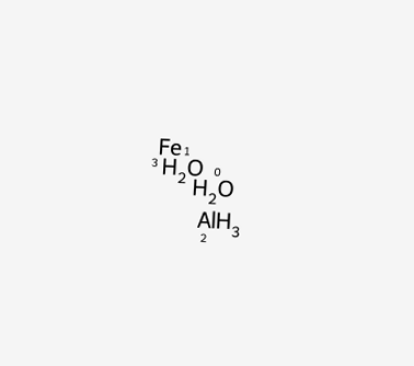 O.O.[AlH3].[Fe]